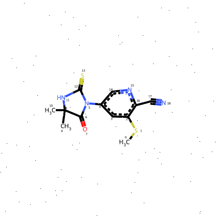 CSc1cc(N2C(=O)C(C)(C)NC2=S)cnc1C#N